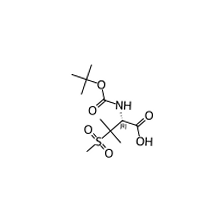 CC(C)(C)OC(=O)N[C@H](C(=O)O)C(C)(C)S(C)(=O)=O